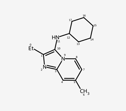 CCc1nc2cc(C)ccn2c1NC1CCCCC1